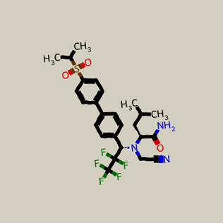 CC(C)C[C@@H](C(N)=O)N(CC#N)[C@@H](c1ccc(-c2ccc(S(=O)(=O)C(C)C)cc2)cc1)C(F)(F)C(F)(F)F